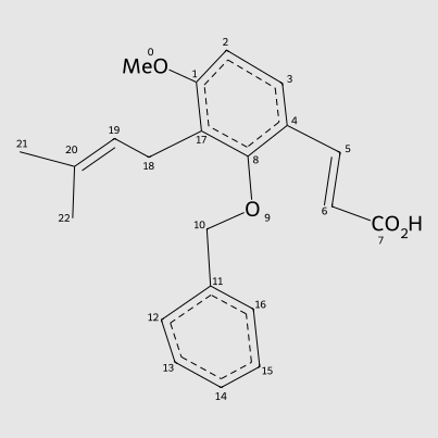 COc1ccc(C=CC(=O)O)c(OCc2ccccc2)c1CC=C(C)C